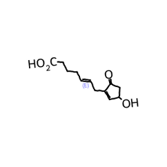 O=C(O)CCC/C=C/CC1=CC(O)CC1=O